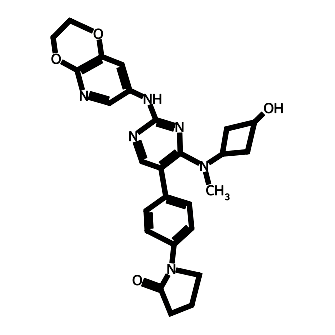 CN(c1nc(Nc2cnc3c(c2)OCCO3)ncc1-c1ccc(N2CCCC2=O)cc1)C1CC(O)C1